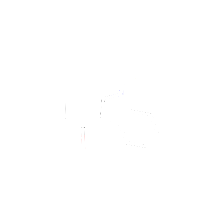 Cc1c(C(=O)C(C)C)c2ccccc2n1S(C)(=O)=O